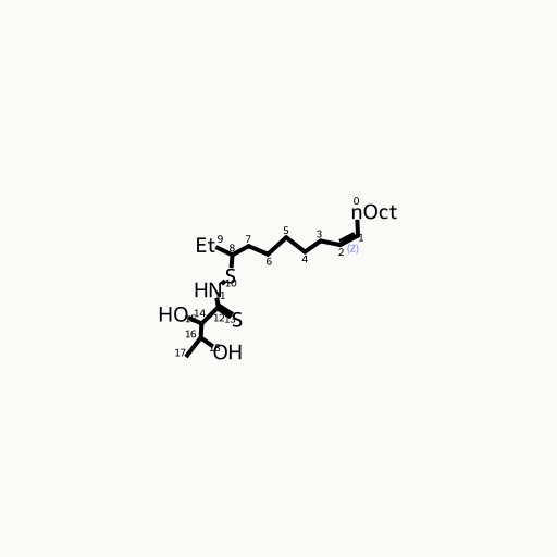 CCCCCCCC/C=C\CCCCCC(CC)SNC(=S)C(O)C(C)O